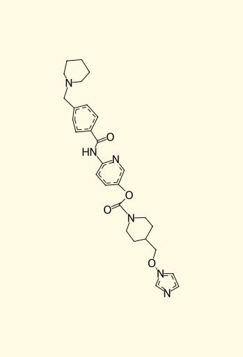 O=C(Nc1ccc(OC(=O)N2CCC(COn3ccnc3)CC2)cn1)c1ccc(CN2CCCCC2)cc1